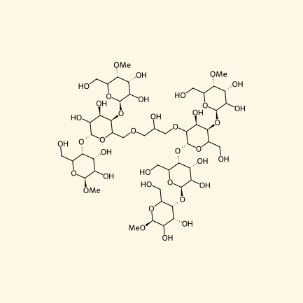 CO[C@H]1OC(CO)[C@H](O[C@H]2OC(COCC(O)COC3[C@@H](O[C@H]4C(CO)O[C@H](O[C@H]5C(CO)O[C@H](OC)C(O)[C@H]5O)C(O)[C@H]4O)OC(CO)[C@H](O[C@H]4OC(CO)[C@H](OC)[C@H](O)C4O)[C@@H]3O)[C@H](O[C@H]3OC(CO)[C@H](OC)[C@H](O)C3O)[C@H](O)C2O)[C@H](O)C1O